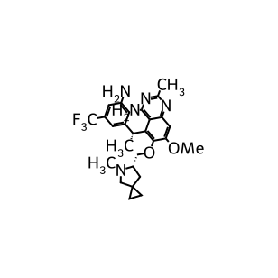 COc1cc2nc(C)nc(N)c2c([C@H](C)c2cc(N)cc(C(F)(F)F)c2)c1OC[C@@H]1CC2(CC2)CN1C